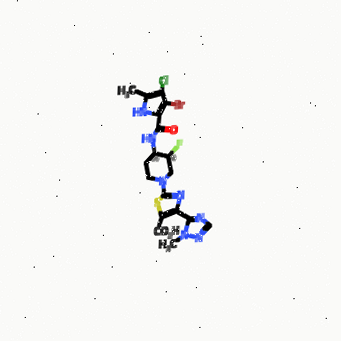 Cc1[nH]c(C(=O)N[C@@H]2CCN(c3nc(-c4ncnn4C)c(C(=O)O)s3)C[C@@H]2F)c(Br)c1Cl